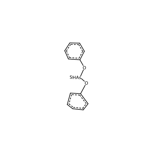 S=[AsH](Oc1ccccc1)Oc1ccccc1